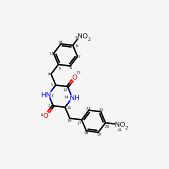 O=C1NC(Cc2ccc([N+](=O)[O-])cc2)C(=O)NC1Cc1ccc([N+](=O)[O-])cc1